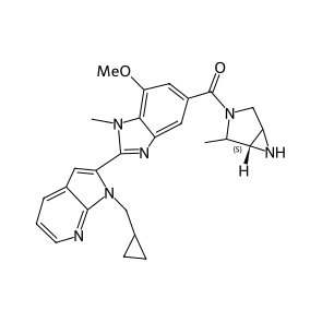 COc1cc(C(=O)N2CC3N[C@@H]3C2C)cc2nc(-c3cc4cccnc4n3CC3CC3)n(C)c12